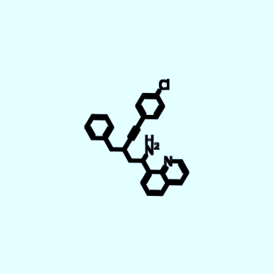 NC(CC(C#Cc1ccc(Cl)cc1)Cc1ccccc1)c1cccc2cccnc12